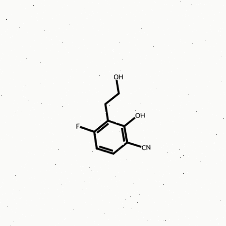 N#Cc1ccc(F)c(CCO)c1O